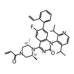 C=CC(=O)N1C[C@H](C)N(c2nc(=O)n(-c3c(C(C)C)ccnc3C(C)C)c3cc(-c4ccccc4C=C)c(F)cc23)[C@@H](C)C1